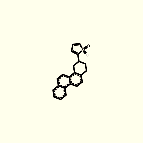 O=S1(=O)C=CC=C1C1CCc2ccc3c(ccc4ccccc43)c2C1